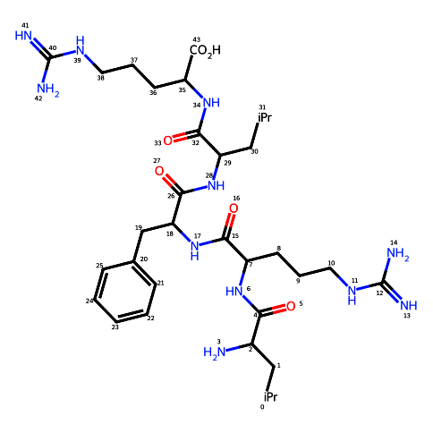 CC(C)CC(N)C(=O)NC(CCCNC(=N)N)C(=O)NC(Cc1ccccc1)C(=O)NC(CC(C)C)C(=O)NC(CCCNC(=N)N)C(=O)O